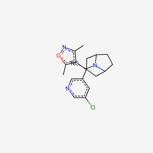 Cc1noc(C)c1CN1C2CCC1CC(C#N)(c1cncc(Cl)c1)C2